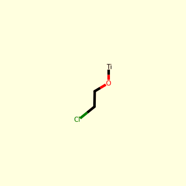 ClCC[O][Ti]